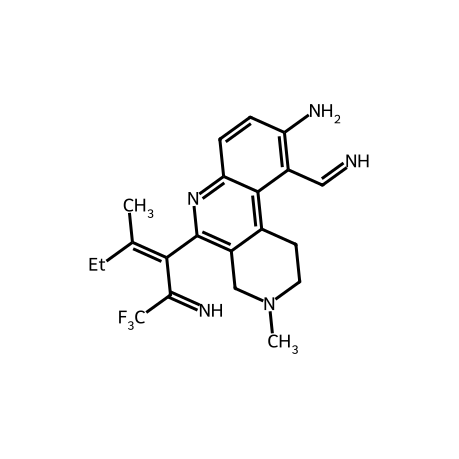 CC/C(C)=C(\C(=N)C(F)(F)F)c1nc2ccc(N)c(C=N)c2c2c1CN(C)CC2